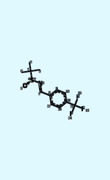 CC(C)(C)[S@+]([O-])/N=C/c1ccc(C(F)(F)F)cc1